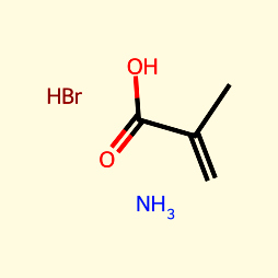 Br.C=C(C)C(=O)O.N